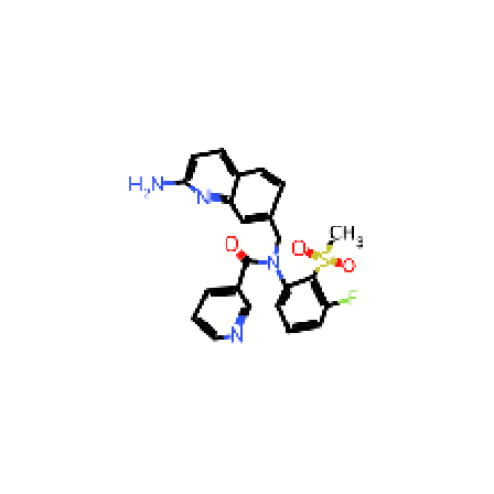 CS(=O)(=O)c1c(F)cccc1N(Cc1ccc2ccc(N)nc2c1)C(=O)c1cccnc1